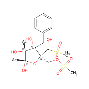 CC(=O)[C@@]1(O)[C@@](O)(Cc2ccccc2)[C@@](COS(C)(=O)=O)(C(O)S(C)(=O)=O)O[C@@]1(O)C(C)=O